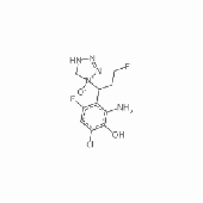 Nc1c(O)c(Cl)cc(F)c1C(CCF)[N+]1([O-])CNN=N1